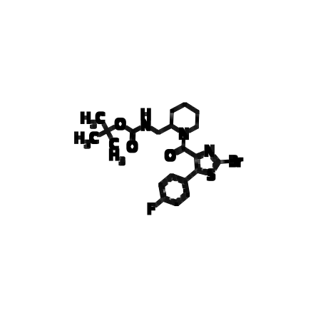 CC(C)(C)OC(=O)NCC1CCCCN1C(=O)c1nc(Br)sc1-c1ccc(F)cc1